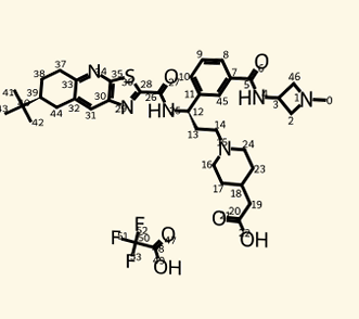 CN1CC(NC(=O)c2cccc([C@@H](CCN3CCC(CC(=O)O)CC3)NC(=O)c3nc4cc5c(nc4s3)CC[C@H](C(C)(C)C)C5)c2)C1.O=C(O)C(F)(F)F